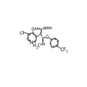 C/N=C(Oc1ccc(C(F)(F)F)cc1)\C(=C/NC)c1cncc(Cl)c1OC